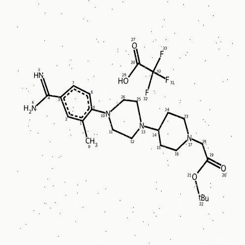 Cc1cc(C(=N)N)ccc1N1CCN(C2CCN(CC(=O)OC(C)(C)C)CC2)CC1.O=C(O)C(F)(F)F